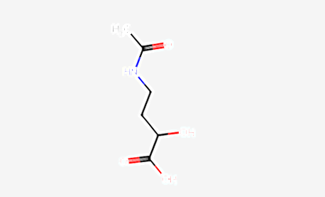 CC(=O)NCCC(O)C(=O)O